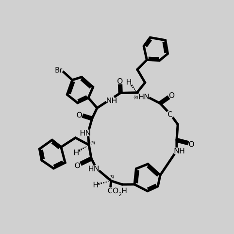 O=C1CCC(=O)N[C@H](CCc2ccccc2)C(=O)NC(c2ccc(Br)cc2)C(=O)N[C@H](Cc2ccccc2)C(=O)N[C@H](C(=O)O)Cc2ccc(cc2)N1